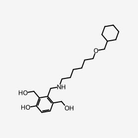 OCc1ccc(O)c(CO)c1CNCCCCCCOCC1CCCCC1